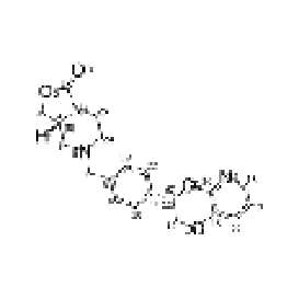 O=C1OC[C@H]2CN(Cc3ccc([C@H]4COc5cccnc5O4)cc3)CCN12